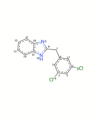 Clc1cc(Cl)cc(Cc2nc3ccccc3[nH]2)c1